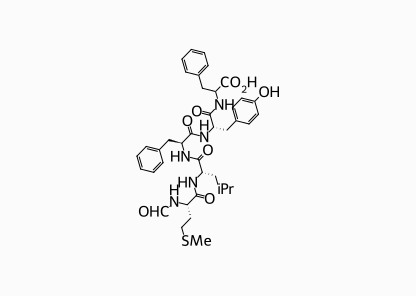 CSCC[C@H](NC=O)C(=O)N[C@@H](CC(C)C)C(=O)N[C@@H](Cc1ccccc1)C(=O)N[C@@H](Cc1ccc(O)cc1)C(=O)NC(Cc1ccccc1)C(=O)O